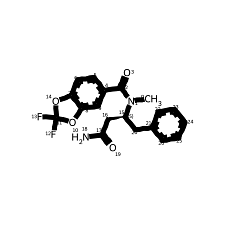 CN(C(=O)c1ccc2c(c1)OC(F)(F)O2)[C@H](CC(N)=O)Cc1ccccc1